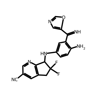 N#Cc1cnc2c(c1)CC(F)(F)C2Nc1ccc(N)c(C(=N)c2cnco2)c1